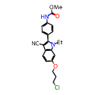 CCn1c(-c2ccc(NC(=O)OC)cc2)c(C#N)c2ccc(OCCCCl)cc21